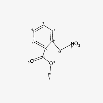 O=C(OF)c1ccccc1C[N+](=O)[O-]